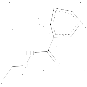 CCONC(=O)c1cc[c]nc1